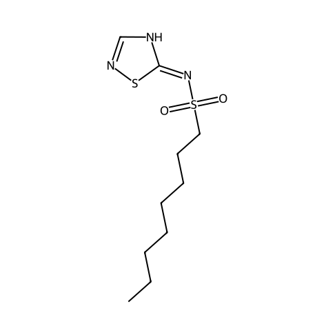 CCCCCCCCS(=O)(=O)/N=c1/[nH]cns1